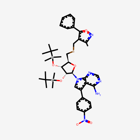 Cc1noc(-c2ccccc2)c1CSC[C@H]1O[C@@H](n2cc(-c3ccc([N+](=O)[O-])cc3)c3c(N)ncnc32)[C@H](O[Si](C)(C)C(C)(C)C)[C@@H]1O[Si](C)(C)C(C)(C)C